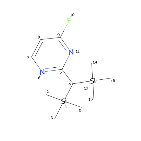 C[Si](C)(C)C(c1nccc(F)n1)[Si](C)(C)C